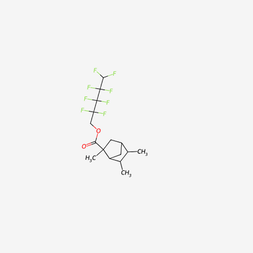 CC1C2CC(C1C)C(C)(C(=O)OCC(F)(F)C(F)(F)C(F)(F)C(F)F)C2